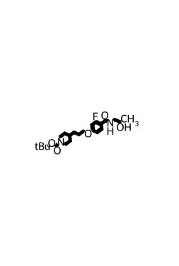 C[C@H](O)CNC(=O)c1ccc(OCCCC2CCN(C(=O)OC(C)(C)C)CC2)cc1F